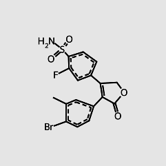 Cc1cc(C2=C(c3ccc(S(N)(=O)=O)c(F)c3)COC2=O)ccc1Br